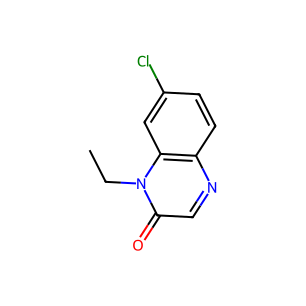 CCn1c(=O)cnc2ccc(Cl)cc21